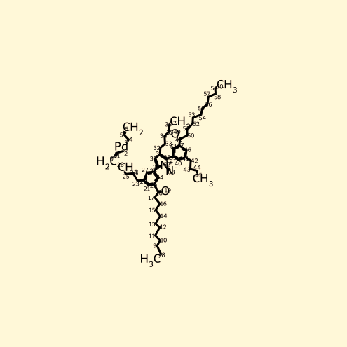 C=C[CH2][Pd][CH2]C=C.CCCCCCCCCCCC(=O)c1cc(CCCC)cc(C2=CC(CCCCCC)=C(c3cc(CCCC)cc(C(=O)CCCCCCCCCCC)c3)[N+]2=[N-])c1